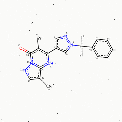 CC(C)c1c(-c2cnn(C(C)(C)c3ccccc3)c2)[nH]c2c(C#N)cnn2c1=O